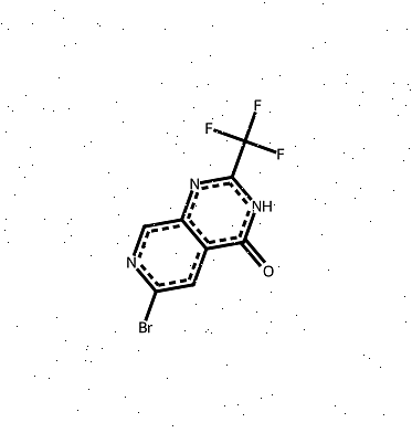 O=c1[nH]c(C(F)(F)F)nc2cnc(Br)cc12